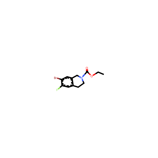 CCOC(=O)N1CCc2cc(F)c(Br)cc2C1